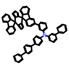 c1ccc(-c2ccc(-c3ccc(N(c4cccc(-c5ccccc5)c4)c4cccc(-c5ccc6c(c5)-c5ccccc5C65c6ccccc6C6(c7ccccc7-c7ccccc76)c6ccccc65)c4)cc3)cc2)cc1